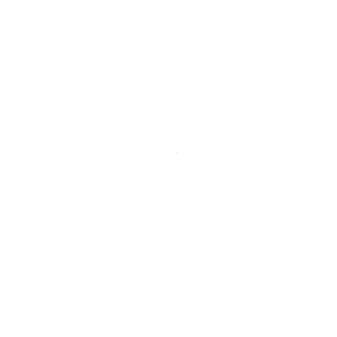 COc1ccc(C2=NC(c3ccc(Cl)cc3)C(C(=O)O)(c3ccc(Cl)cc3)N2)c(OC(C)C)c1